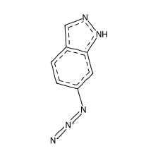 [N-]=[N+]=Nc1ccc2cn[nH]c2c1